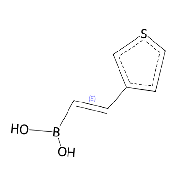 OB(O)/C=C/c1ccsc1